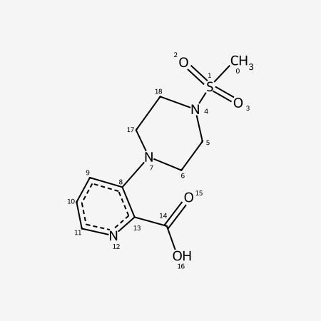 CS(=O)(=O)N1CCN(c2cccnc2C(=O)O)CC1